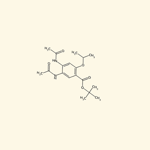 CC(=O)Nc1cc(OC(C)C)c(C(=O)OC(C)(C)C)cc1NC(C)=O